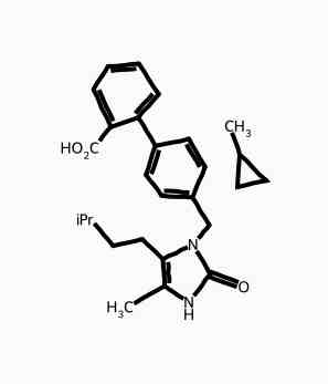 CC1CC1.Cc1[nH]c(=O)n(Cc2ccc(-c3ccccc3C(=O)O)cc2)c1CCC(C)C